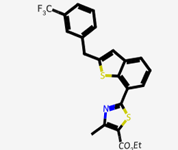 CCOC(=O)c1sc(-c2cccc3cc(Cc4cccc(C(F)(F)F)c4)sc23)nc1C